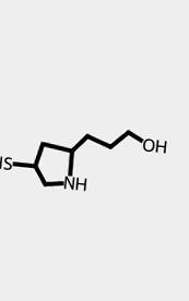 OCCCC1CC(S)CN1